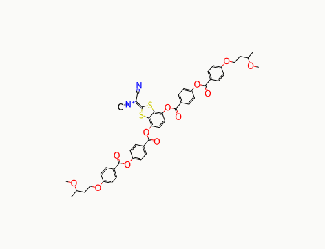 [C-]#[N+]C(C#N)=C1Sc2c(OC(=O)c3ccc(OC(=O)c4ccc(OCCC(C)OC)cc4)cc3)ccc(OC(=O)c3ccc(OC(=O)c4ccc(OCCC(C)OC)cc4)cc3)c2S1